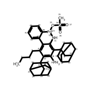 CCCCc1c2c(c(C34CC5CC(CC(C5)C3)C4)c(P)c1C13CC4CC(CC(C4)C1)C3)[NH][Pd+2]([O]S(C)(=O)=O)[c]1ccccc1-2